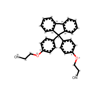 O=NCCOc1ccc(C2(c3ccc(OCCN=O)cc3)c3ccccc3-c3ccccc32)cc1